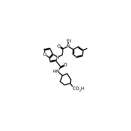 CCN(C(=O)Cn1c(C(=O)NC2CCC(C(=O)O)CC2)cc2occc21)c1cccc(C)c1